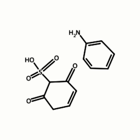 Nc1ccccc1.O=C1C=CCC(=O)C1S(=O)(=O)O